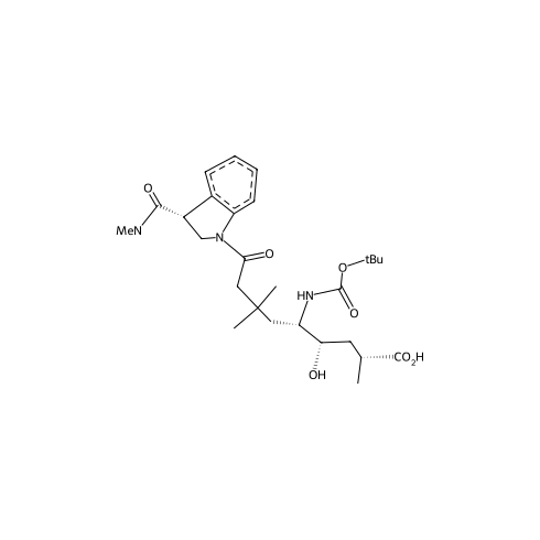 CNC(=O)[C@H]1CN(C(=O)CC(C)(C)C[C@H](NC(=O)OC(C)(C)C)[C@@H](O)C[C@@H](C)C(=O)O)c2ccccc21